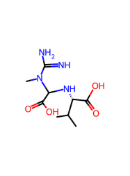 CC(C)[C@H](NC(C(=O)O)N(C)C(=N)N)C(=O)O